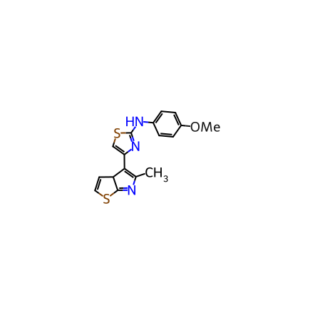 COc1ccc(Nc2nc(C3=C(C)N=C4SC=CC43)cs2)cc1